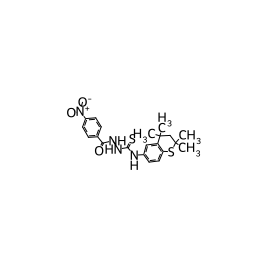 CC1(C)CC(C)(C)c2cc(NC(=S)NNC(=O)c3ccc([N+](=O)[O-])cc3)ccc2S1